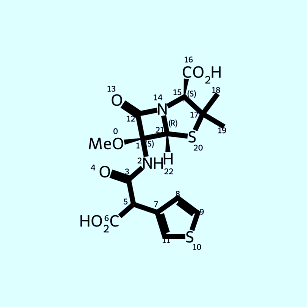 CO[C@@]1(NC(=O)C(C(=O)O)c2ccsc2)C(=O)N2[C@@H](C(=O)O)C(C)(C)S[C@@H]21